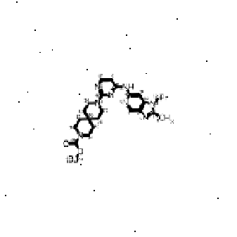 Cc1nc2cnc(Nc3ccnc(N4CCC5(CCN(C(=O)OC(C)(C)C)CC5)CC4)n3)cc2n1C(C)C